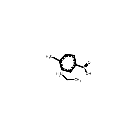 CCN.Cc1ccc(S(=O)O)cc1